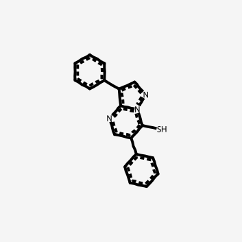 Sc1c(-c2ccccc2)cnc2c(-c3ccccc3)cnn12